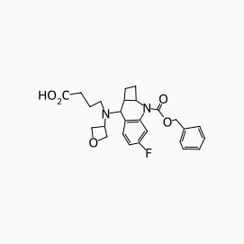 O=C(O)CCCN(C1COC1)C1c2ccc(F)cc2N(C(=O)OCc2ccccc2)C2CCC21